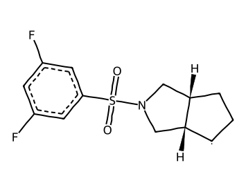 O=S(=O)(c1cc(F)cc(F)c1)N1C[C@@H]2CC[CH][C@@H]2C1